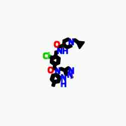 Cc1ccc2c(c1)Nc1c(cnn1C)CN2C(=O)c1ccc(CNC(=O)C2CCN(CC3CC3)CC2)c(Cl)c1